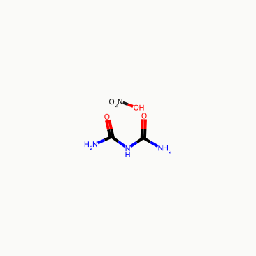 NC(=O)NC(N)=O.O=[N+]([O-])O